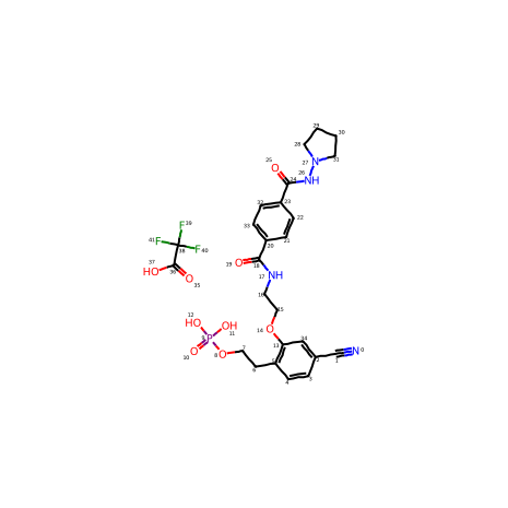 N#Cc1ccc(CCOP(=O)(O)O)c(OCCNC(=O)c2ccc(C(=O)NN3CCCC3)cc2)c1.O=C(O)C(F)(F)F